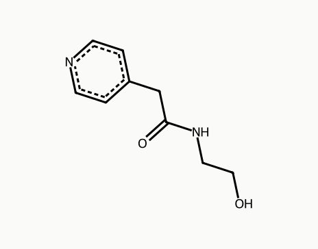 O=C(Cc1ccncc1)NCCO